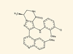 COc1ccc2nccc(-c3nn4c(c3Nc3cccc(Cl)c3OC)C(=O)NC[C@@H]4C)c2c1